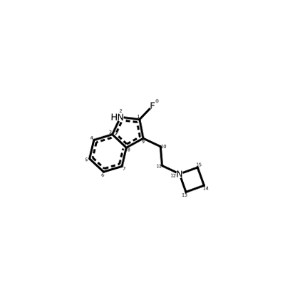 Fc1[nH]c2ccccc2c1CCN1CCC1